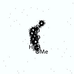 COC(=O)[C@H](C)NC(=O)[C@H]1CC[C@]2(C)[C@H]3C(=O)C=C4[C@@H]5C[C@@](C)(C(=O)OCc6ccccc6)CC[C@]5(C)CC[C@@]4(C)[C@]3(C)CC[C@H]2C1(C)C